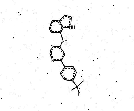 FC(F)(F)c1ccc(-c2cc(Nc3cccc4cc[nH]c34)ncn2)cc1